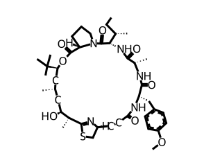 CC[C@H](C)[C@@H]1NC(=O)[C@H](C)NC(=O)[C@H](Cc2ccc(OC)cc2)NC(=O)CC[C@@H]2CSC(=N2)[C@H](C)[C@@H](O)C[C@H](C)C[C@@H](C(C)(C)C)OC(=O)[C@@H]2CCCN2C1=O